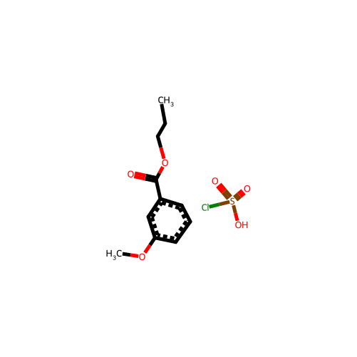 CCCOC(=O)c1cccc(OC)c1.O=S(=O)(O)Cl